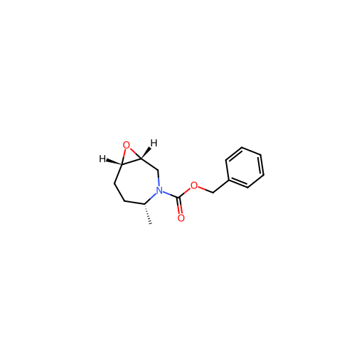 C[C@@H]1CC[C@@H]2O[C@@H]2CN1C(=O)OCc1ccccc1